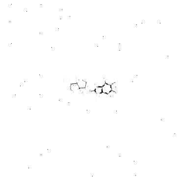 O[C@@H]1CO[C@@H]2[C@H]1OC[C@@H]2Oc1nc2c(F)c(I)c(F)cc2[nH]1